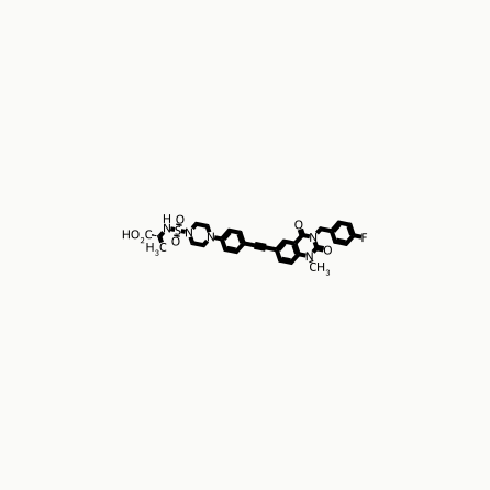 C[C@@H](NS(=O)(=O)N1CCN(c2ccc(C#Cc3ccc4c(c3)c(=O)n(Cc3ccc(F)cc3)c(=O)n4C)cc2)CC1)C(=O)O